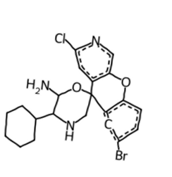 NC1OC2(CNC1C1CCCCC1)c1cc(Br)ccc1Oc1cnc(Cl)cc12